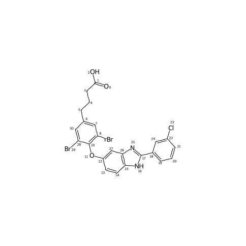 O=C(O)CCCc1cc(Br)c(Oc2ccc3[nH]c(-c4cccc(Cl)c4)nc3c2)c(Br)c1